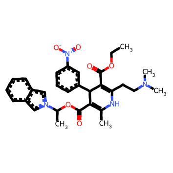 CCOC(=O)C1=C(CCN(C)C)NC(C)=C(C(=O)OC(C)n2cc3ccccc3c2)C1c1cccc([N+](=O)[O-])c1